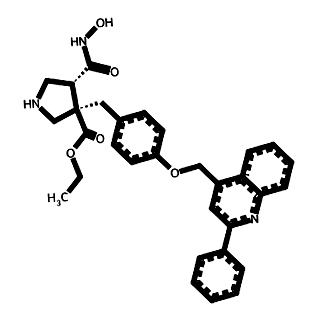 CCOC(=O)[C@@]1(Cc2ccc(OCc3cc(-c4ccccc4)nc4ccccc34)cc2)CNC[C@@H]1C(=O)NO